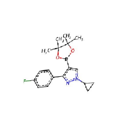 CC1(C)OB(c2cn(C3CC3)nc2-c2ccc(F)cc2)OC1(C)C